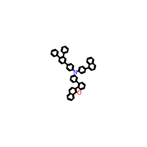 c1ccc(-c2ccc(-c3ccc(N(c4ccc(-c5cccc6ccccc56)cc4)c4cccc(-c5cccc6oc7c8ccccc8ccc7c56)c4)cc3)cc2-c2ccccc2)cc1